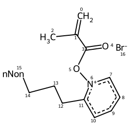 C=C(C)C(=O)O[n+]1ccccc1CCCCCCCCCCCC.[Br-]